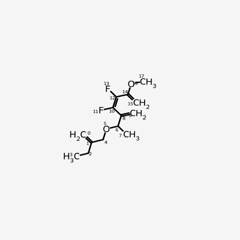 C=C(CC)COC(C)C(=C)/C(F)=C(/F)C(=C)OC